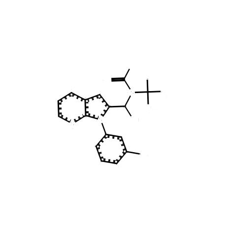 CC(c1cc2cccnc2n1-c1cccc(F)c1)N(C(=O)O)C(C)(C)C